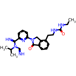 CCNC(=O)NCCc1cccc2c1CN(c1cccc(C(=N)N(C=N)C(C)C)n1)C2=O